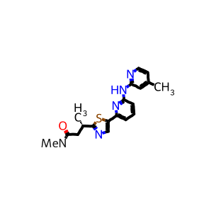 CNC(=O)C[C@H](C)c1ncc(-c2cccc(Nc3cc(C)ccn3)n2)s1